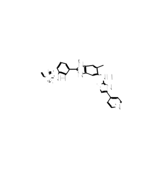 C=CS(=O)(=O)Nc1cccc(-c2nc3cc(Nc4nc(-c5ccncc5)cs4)c(C)cc3n2C)c1